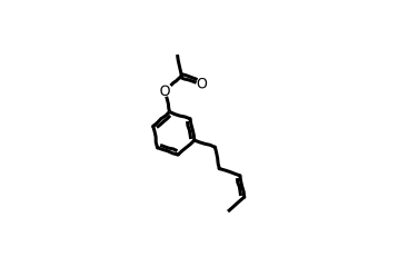 C/C=C\CCc1cccc(OC(C)=O)c1